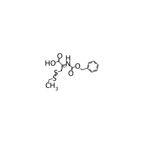 CCSSC[C@H](NC(=O)OCc1ccccc1)C(=O)O